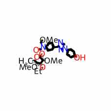 CCO[C@@H]1[C@@H](OC)[C@H](C)O[C@@H](OC(=O)N(COC)c2ccc(-c3ncn(-c4ccc(O)cc4)n3)cc2)[C@@H]1OC